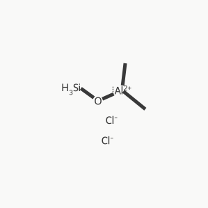 [CH3][Al+2]([CH3])[O][SiH3].[Cl-].[Cl-]